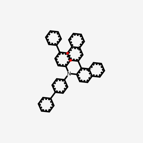 c1ccc(-c2ccc(N(c3ccc(-c4ccccc4)cc3)c3ccc4ccccc4c3-c3ccc4ccccc4c3)cc2)cc1